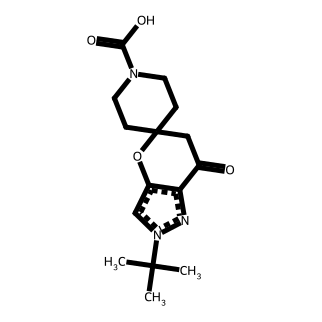 CC(C)(C)n1cc2c(n1)C(=O)CC1(CCN(C(=O)O)CC1)O2